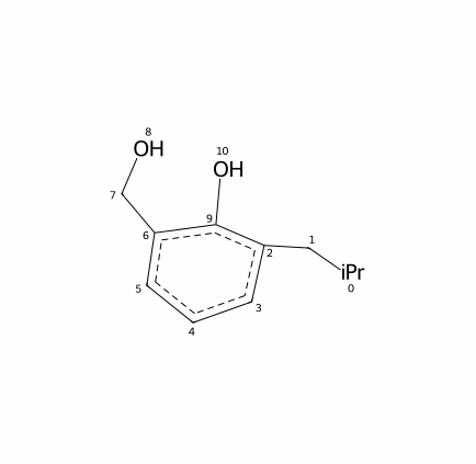 CC(C)Cc1cccc(CO)c1O